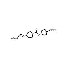 CCCCC/C=C\OC1CCC(C(=O)OC2CCC(CCCCC)CC2)CC1